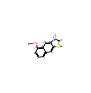 COc1cccc2cc3c(cc12)NCS3